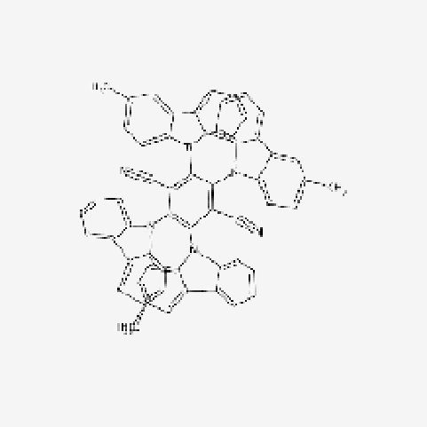 Cc1ccc2c(c1)c1ccccc1n2-c1c(C#N)c(-n2c3ccccc3c3cc(C)ccc32)c(-n2c3ccccc3c3cc(C)ccc32)c(C#N)c1-n1c2ccccc2c2cc(C)ccc21